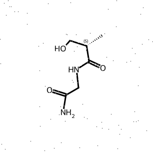 C[C@@H](CO)C(=O)NCC(N)=O